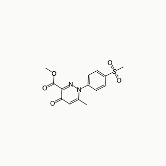 COC(=O)c1nn(-c2ccc(S(C)(=O)=O)cc2)c(C)cc1=O